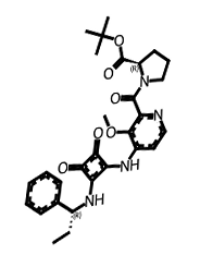 CC[C@@H](Nc1c(Nc2ccnc(C(=O)N3CCC[C@@H]3C(=O)OC(C)(C)C)c2OC)c(=O)c1=O)c1ccccc1